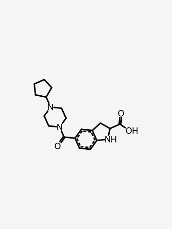 O=C(O)C1Cc2cc(C(=O)N3CCN(C4CCCC4)CC3)ccc2N1